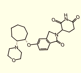 O=C1CCC(N2Cc3cc(O[C@H]4CCCCC[C@H]4N4CCOCC4)ccc3C2=O)C(=O)N1